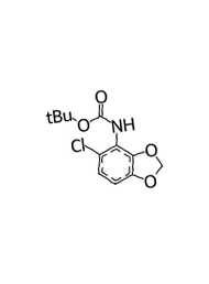 CC(C)(C)OC(=O)Nc1c(Cl)ccc2c1OCO2